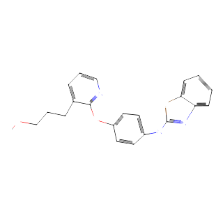 CCOCCCc1cccnc1Oc1ccc(Nc2nc3ccccc3s2)cc1